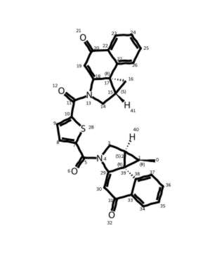 C[C@@H]1[C@@H]2CN(C(=O)c3ccc(C(=O)N4C[C@H]5C[C@@]56C4=CC(=O)c4ccccc46)s3)C3=CC(=O)c4ccccc4[C@@]312